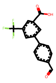 O=Cc1ccc(-c2cc(C(=O)O)cc(C(F)(F)F)c2)cc1